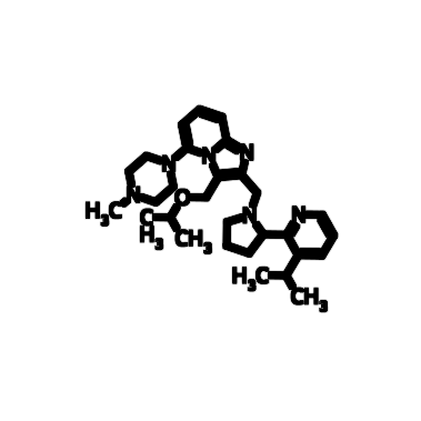 CC(C)OCc1c(CN2CCCC2c2ncccc2C(C)C)nc2cccc(N3CCN(C)CC3)n12